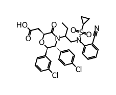 CCC(CN(c1ccccc1C#N)S(=O)(=O)C1CC1)N1C(=O)[C@H](CC(=O)O)O[C@H](c2cccc(Cl)c2)[C@H]1c1ccc(Cl)cc1